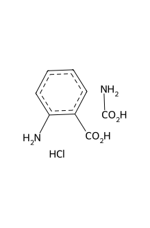 Cl.NC(=O)O.Nc1ccccc1C(=O)O